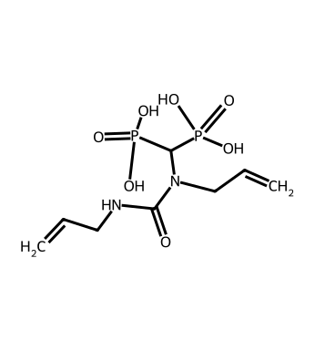 C=CCNC(=O)N(CC=C)C(P(=O)(O)O)P(=O)(O)O